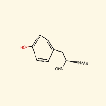 CN[C@@H](C=O)Cc1ccc(O)cc1